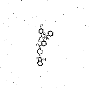 O=C(c1cccc2c1OCC(c1ccc(Cl)cc1)N2S(=O)(=O)c1ccccc1)N1CCC(c2nc3ccccc3[nH]2)CC1